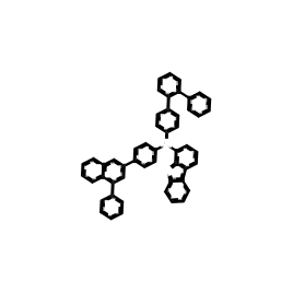 c1ccc(-c2ccccc2-c2ccc(N(c3ccc(-c4cc(-c5ccccc5)c5ccccc5c4)cc3)c3cccc4c3sc3ccccc34)cc2)cc1